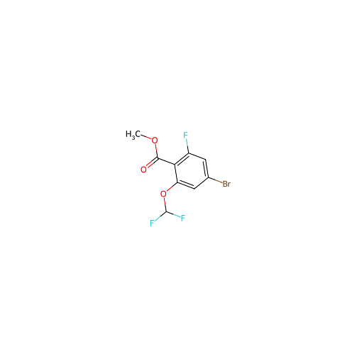 COC(=O)c1c(F)cc(Br)cc1OC(F)F